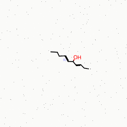 [CH2]CC=CC(O)/C=C/CCC